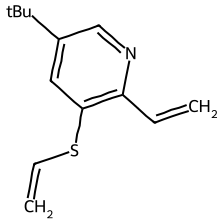 C=CSc1cc(C(C)(C)C)cnc1C=C